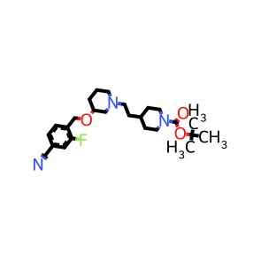 CC(C)(C)OC(=O)N1CCC(CCN2CCCC(OCc3ccc(C#N)cc3F)C2)CC1